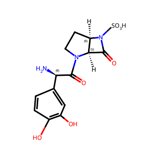 N[C@@H](C(=O)N1CC[C@@H]2[C@H]1C(=O)N2S(=O)(=O)O)c1ccc(O)c(O)c1